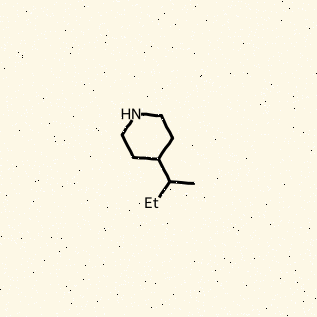 CCC(C)C1CCNCC1